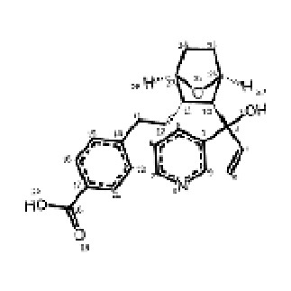 C=CC(O)(c1cccnc1)[C@H]1[C@H](CCc2ccc(C(=O)O)cc2)[C@H]2CC[C@@H]1O2